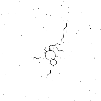 CCCCCCCCN(CCCNCCCN)CCC[C@@H](C)[C@H]1CC[C@H]2C[C@H](OCCCN)CC3C[C@H](OCCCN)CC[C@]3(C)[C@H](C)C[C@H](OCCCN)[C@@]21C